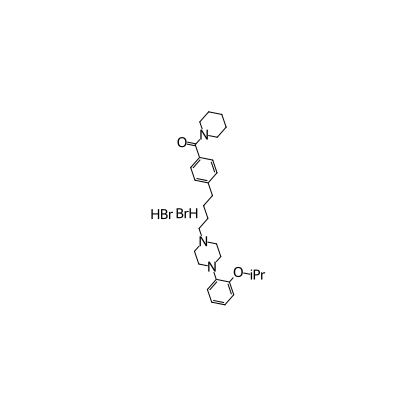 Br.Br.CC(C)Oc1ccccc1N1CCN(CCCCc2ccc(C(=O)N3CCCCC3)cc2)CC1